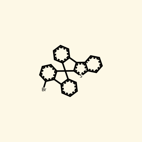 Brc1cccc2c1-c1ccccc1C21c2ccccc2-c2c1sc1ccccc21